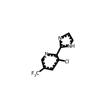 FC(F)(F)c1cnc(-c2ncc[nH]2)c(Cl)c1